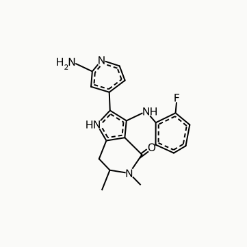 CC1Cc2[nH]c(-c3ccnc(N)c3)c(Nc3ccccc3F)c2C(=O)N1C